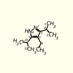 CCc1c(C(C)C)n[nH]c1C(C)C